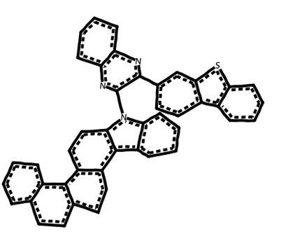 c1ccc2c(c1)ccc1ccc3c(ccc4c3c3ccccc3n4-c3nc4ccccc4nc3-c3ccc4c(c3)sc3ccccc34)c12